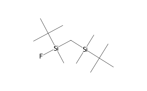 CC(C)(C)[Si](C)(C)C[Si](C)(F)C(C)(C)C